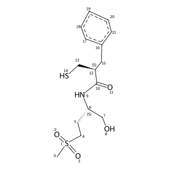 CS(=O)(=O)CC[C@@H](CO)NC(=O)[C@@H](CS)Cc1ccccc1